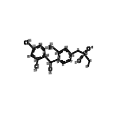 CCS(=O)(=O)Cc1ccc(C(=O)c2ccc(Cl)cc2Cl)c(Br)c1